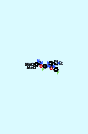 CCN(CC)Cc1cc2ccnc(Nc3ccc(Oc4ncnc5cc(OC)c(OC)cc45)c(F)c3)c2c(=O)n1-c1ccc(F)cc1